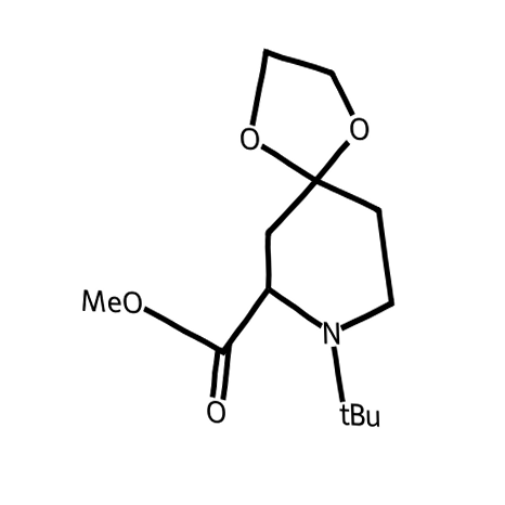 COC(=O)C1CC2(CCN1C(C)(C)C)OCCO2